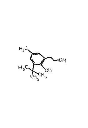 Cc1cc(CCO)c(O)c(C(C)(C)C)c1